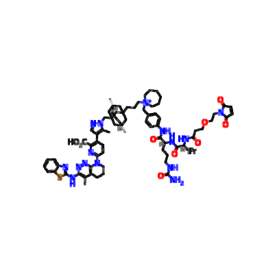 Cc1c(Nc2nc3ccccc3s2)nnc2c1CCCN2c1ccc(-c2cnn(CC34CC5(CCC[N+]6(Cc7ccc(NC(=O)[C@H](CCCNC(N)=O)NC(=O)[C@@H](NC(=O)CCOCCN8C(=O)C=CC8=O)C(C)C)cc7)CCCCCC6)C[C@@](C)(C3)C[C@](C)(C5)C4)c2C)c(C(=O)O)n1